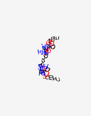 CC(C)(C)OC(=O)N[C@@H](C(=O)N1CCC[C@H]1c1ncc(-c2ccc(-c3ccc4nc([C@@H]5CCCN5C(=O)[C@H](NC(=O)OC(C)(C)C)c5ccccc5)[nH]c4c3)cc2)[nH]1)c1ccccc1